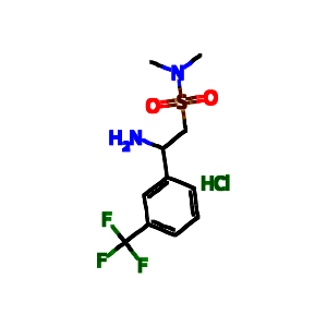 CN(C)S(=O)(=O)CC(N)c1cccc(C(F)(F)F)c1.Cl